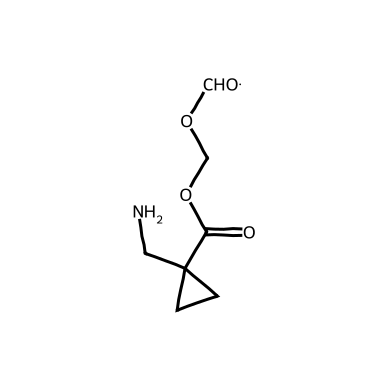 NCC1(C(=O)OCO[C]=O)CC1